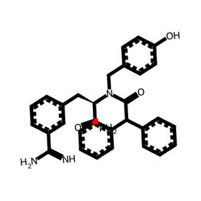 N=C(N)c1cccc(C[C@H](C(N)=O)N(Cc2ccc(O)cc2)C(=O)C(c2ccccc2)c2ccccc2)c1